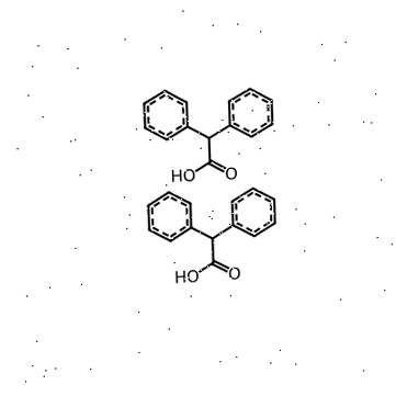 O=C(O)C(c1ccccc1)c1ccccc1.O=C(O)C(c1ccccc1)c1ccccc1